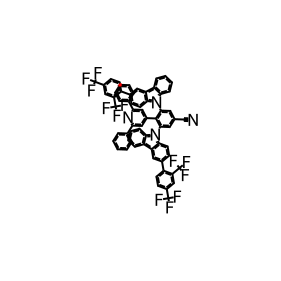 N#Cc1cc(-n2c3ccccc3c3cc(-c4ccc(C(F)(F)F)cc4C(F)(F)F)ccc32)c(-c2cc(-c3ccccc3)nc(-c3ccccc3)c2)c(-n2c3ccccc3c3cc(-c4ccc(C(F)(F)F)cc4C(F)(F)F)ccc32)c1